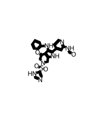 O=CNc1cc(-c2[nH]c3c(c2Nc2ccccc2)C(=O)CN(S(=O)(=O)c2cnc[nH]2)C3)ccn1